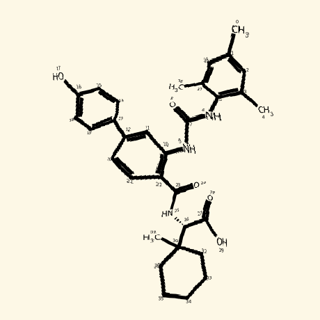 Cc1cc(C)c(NC(=O)Nc2cc(-c3ccc(O)cc3)ccc2C(=O)N[C@H](C(=O)O)C2(C)CCCCC2)c(C)c1